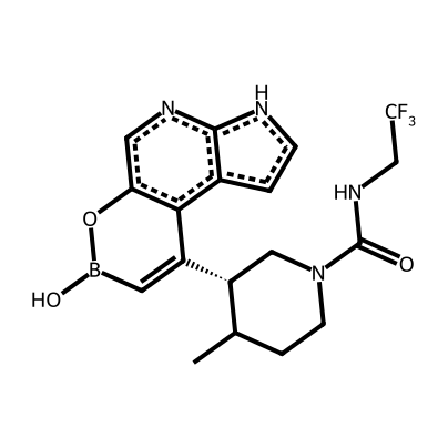 CC1CCN(C(=O)NCC(F)(F)F)C[C@H]1C1=CB(O)Oc2cnc3[nH]ccc3c21